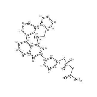 NC(=O)CS(=O)(=O)Cc1cncc(-c2nc(NCc3ccccn3)c3c(-c4ccccc4)cccc3n2)c1